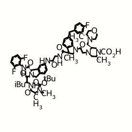 CCC(C)C(NC(=O)C(C)N(C)C(=O)OC(C)(C)C)C(=O)N1Cc2ccc(NC(=O)CNC(=O)[C@]3(C)CN(C(=O)CN4C[C@@H](C)N(C(=O)O)C[C@@H]4CN4CCOC[C@H]4C)c4cc(Cc5ccc(F)cc5)ccc43)cc2[C@H]1C(=O)Nc1c(F)cccc1F